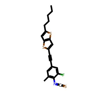 CCCCCc1cc2sc(C#Cc3cc(C)c(N=C=S)c(F)c3)cc2s1